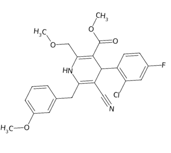 COCC1=C(C(=O)OC)C(c2ccc(F)cc2Cl)C(C#N)=C(Cc2cccc(OC)c2)N1